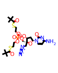 CC(C)(C)C(=O)SCCOP(=O)(OCCSC(=O)C(C)(C)C)OC[C@@]1(CN=[N+]=[N-])O[C@@H](n2ccc(N)nc2=O)C[C@@H]1O